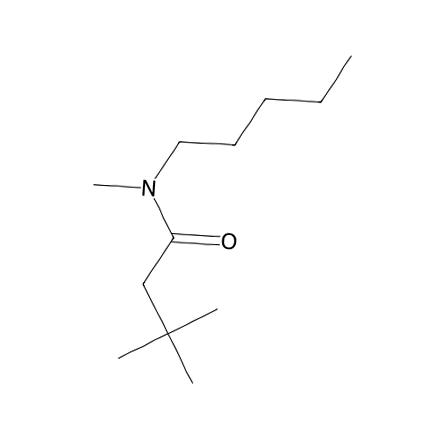 CCCCCN(C)C(=O)CC(C)(C)C